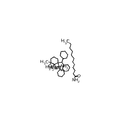 CC1(C)CCCC(C(C2CCCCC2)C2CCCCC2)(C(N)(N)C2CCCCC2)C1(N)N.CCCCCCCCCCCC(N)=O